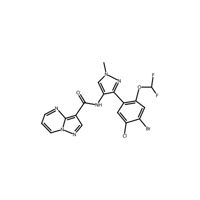 Cn1cc(NC(=O)c2cnn3cccnc23)c(-c2cc(Cl)c(Br)cc2OC(F)F)n1